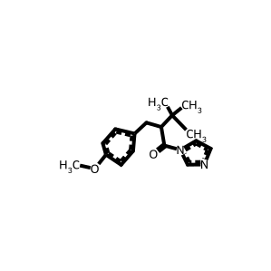 COc1ccc(CC(C(=O)n2ccnc2)C(C)(C)C)cc1